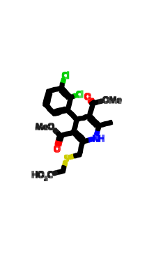 COC(=O)C1=C(C)NC(CSCC(=O)O)=C(C(=O)OC)C1c1cccc(Cl)c1Cl